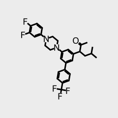 CC(=O)C(CC(C)C)c1cc(-c2ccc(C(F)(F)F)cc2)cc(N2CCN(c3ccc(F)c(F)c3)CC2)c1